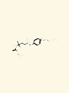 C=C(NC(C)(C)CCNSc1ccc(NOOC)cc1)OC(C)(C)C